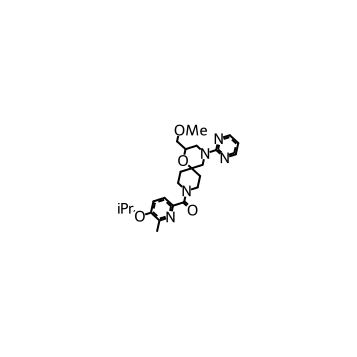 COCC1CN(c2ncccn2)CC2(CCN(C(=O)c3ccc(OC(C)C)c(C)n3)CC2)O1